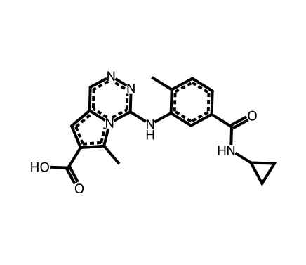 Cc1ccc(C(=O)NC2CC2)cc1Nc1nncc2cc(C(=O)O)c(C)n12